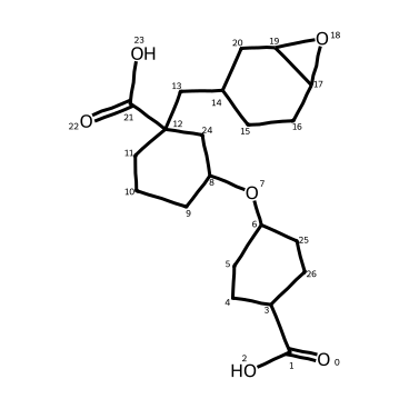 O=C(O)C1CCC(OC2CCCC(CC3CCC4OC4C3)(C(=O)O)C2)CC1